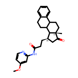 COc1ccnc(NC(=O)CC[C@@H]2CC(=O)[C@@]3(C)CCC4c5ccccc5CCC4C23)c1